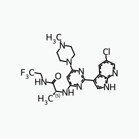 C[C@H](Nc1cc(N2CCN(C)CC2)nc(-c2c[nH]c3ncc(Cl)cc23)n1)C(=O)NCC(F)(F)F